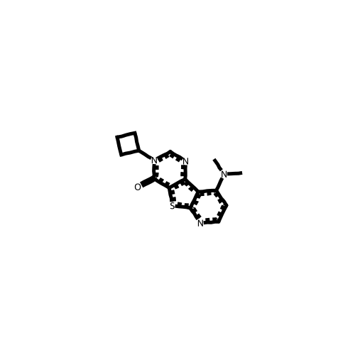 CN(C)c1ccnc2sc3c(=O)n(C4CCC4)cnc3c12